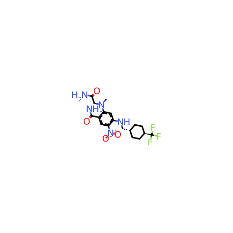 CN(CC(N)=O)c1cc(NC[C@H]2CC[C@H](C(F)(F)F)CC2)c([N+](=O)[O-])cc1C(N)=O